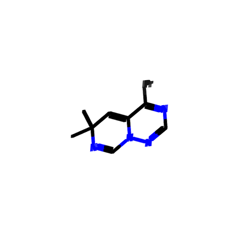 CC(C)C1=NC=NN2C=NC(C)(C)C=C12